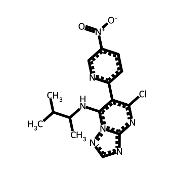 CC(C)C(C)Nc1c(-c2ccc([N+](=O)[O-])cn2)c(Cl)nc2ncnn12